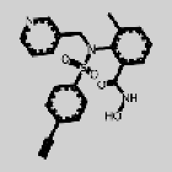 C#Cc1ccc(S(=O)(=O)N(Cc2cccnc2)c2c(C)cccc2C(=O)NO)cc1